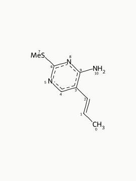 C/C=C/c1cnc(SC)nc1N